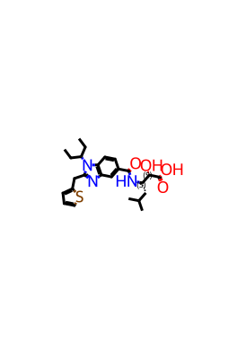 CCC(CC)n1c(Cc2cccs2)nc2cc(C(=O)N[C@@H](CC(C)C)[C@H](O)C(=O)O)ccc21